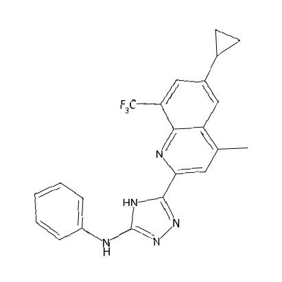 Cc1cc(-c2nnc(Nc3ccccc3)[nH]2)nc2c(C(F)(F)F)cc(C3CC3)cc12